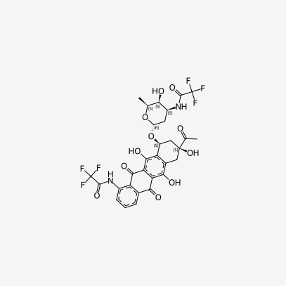 CC(=O)[C@]1(O)Cc2c(O)c3c(c(O)c2[C@@H](O[C@H]2C[C@H](NC(=O)C(F)(F)F)[C@H](O)[C@H](C)O2)C1)C(=O)c1c(NC(=O)C(F)(F)F)cccc1C3=O